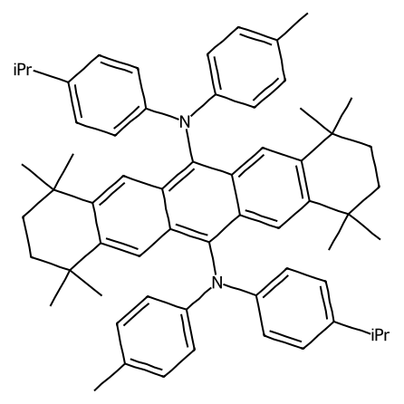 Cc1ccc(N(c2ccc(C(C)C)cc2)c2c3cc4c(cc3c(N(c3ccc(C)cc3)c3ccc(C(C)C)cc3)c3cc5c(cc23)C(C)(C)CCC5(C)C)C(C)(C)CCC4(C)C)cc1